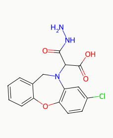 NNC(=O)C(C(=O)O)N1Cc2ccccc2Oc2ccc(Cl)cc21